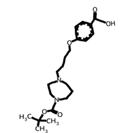 CC(C)(C)OC(=O)N1CCCN(CCCCOc2ccc(C(=O)O)cc2)CC1